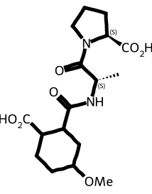 COC1CCC(C(=O)O)C(C(=O)N[C@@H](C)C(=O)N2CCC[C@H]2C(=O)O)C1